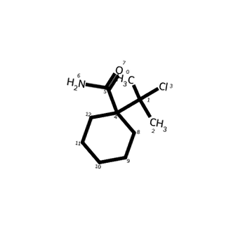 CC(C)(Cl)C1(C(N)=O)CCCCC1